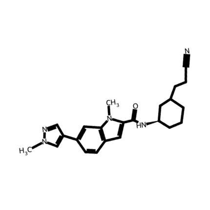 Cn1cc(-c2ccc3cc(C(=O)N[C@@H]4CCCC(CCC#N)C4)n(C)c3c2)cn1